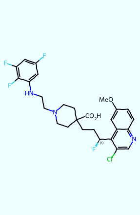 COc1ccc2ncc(Cl)c([C@@H](F)CCC3(C(=O)O)CCN(CCNc4cc(F)cc(F)c4F)CC3)c2c1